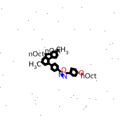 CCCCCCCCOc1ccc(-c2nnc(-c3ccc(-c4cc(C)cc5c4-c4ccc(C)cc4C5(CCCCCCCC)CCCCCCCC)cc3)o2)cc1